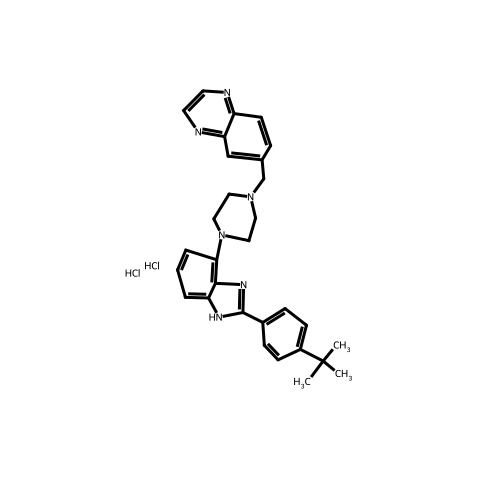 CC(C)(C)c1ccc(-c2nc3c(N4CCN(Cc5ccc6nccnc6c5)CC4)cccc3[nH]2)cc1.Cl.Cl